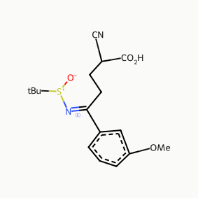 COc1cccc(/C(CCC(C#N)C(=O)O)=N/[S+]([O-])C(C)(C)C)c1